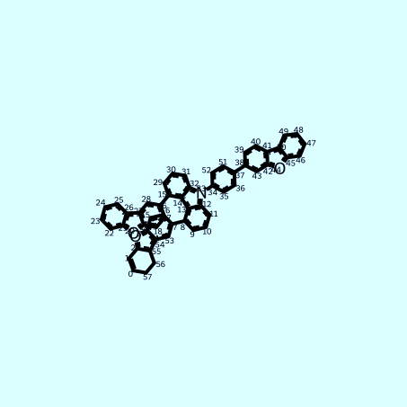 C1=Cc2oc3ccc(-c4cccc5c4c4c(-c6ccc7oc8ccccc8c7c6)cccc4n5-c4ccc(-c5ccc6c(c5)oc5ccccc56)cc4)cc3c2CC1